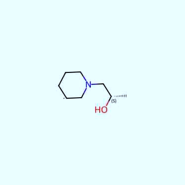 C[C@H](O)CN1C[CH]CCC1